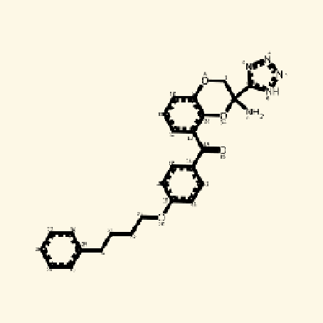 NC1(c2nnn[nH]2)COc2cccc(C(=O)c3ccc(OCCCCc4ccccc4)cc3)c2O1